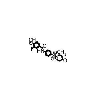 COc1ccc(C(=O)Nc2ccc(S(=O)(=O)N3CCC(=O)C[C@@H]3C)cc2)cc1I